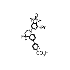 CC(C)c1cc(N2CCC(F)(F)c3cc(-c4ccc(C(=O)O)nc4)ccc32)cc2c1n(C)c(=O)n2C